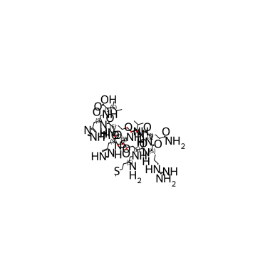 CC[C@H](C)[C@H](NC(=O)[C@H](Cc1c[nH]cn1)NC(=O)[C@H](CCCCN)NC(=O)[C@H](Cc1c[nH]cn1)NC(=O)[C@H](CO)NC(=O)[C@@H](NC(=O)[C@H](CCC(N)=O)NC(=O)[C@H](CCCNC(=N)N)NC(=O)[C@H](CCSC)NC(=O)[C@@H](N)CCSC)C(C)C)C(=O)O